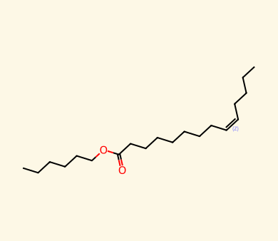 CCCC/C=C\CCCCCCCC(=O)OCCCCCC